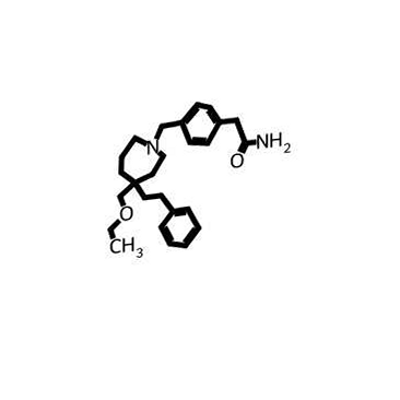 CCOCC1(CCc2ccccc2)CCCN(Cc2ccc(CC(N)=O)cc2)CC1